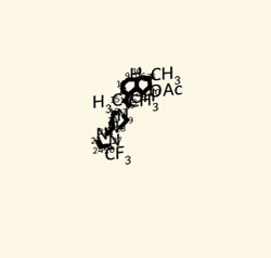 CC(=O)O[C@@H]1[CH][C@@]2(O)[C@H](C=C1C)CCC[C@]2(C)C(C)CN1CCN(c2nccc(C(F)(F)F)n2)CC1